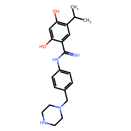 CC(C)c1cc(C(=N)Nc2ccc(CN3CCNCC3)cc2)c(O)cc1O